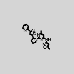 Cc1cc(Nc2cc(C)on2)nc(N2CCCC2c2cc(-c3ccccn3)no2)n1